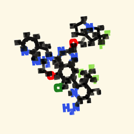 Cc1cc(N)nc(-c2cc3nc(OC[C@]45CCCN4CC(F)(F)C5)nc4c3c(c2Cl)OCCN4Cc2cccnc2N)c1C(F)(F)F